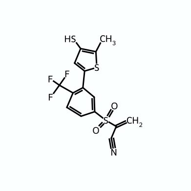 C=C(C#N)S(=O)(=O)c1ccc(C(F)(F)F)c(-c2cc(S)c(C)s2)c1